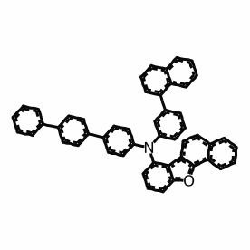 c1ccc(-c2ccc(-c3ccc(N(c4cccc(-c5cccc6ccccc56)c4)c4cccc5oc6c7ccccc7ccc6c45)cc3)cc2)cc1